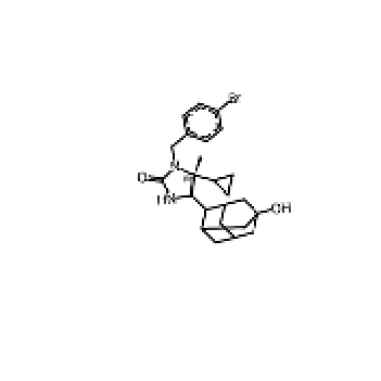 C[C@@]1(C2CC2)C(C2C3CC4CC2CC(O)(C4)C3)NC(=O)N1Cc1ccc(Br)cc1